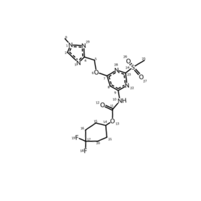 Cn1cnc(COc2cc(NC(=O)OC3CCC(F)(F)CC3)nc(S(C)(=O)=O)n2)n1